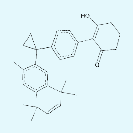 Cc1cc2c(cc1C1(c3ccc(C4=C(O)CCCC4=O)cc3)CC1)C(C)(C)C=CC2(C)C